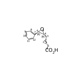 O=C(O)CSC[C@@H]1O[C@@H]1c1ccccc1